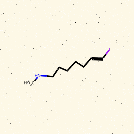 O=C(O)NCCCCCC=CI